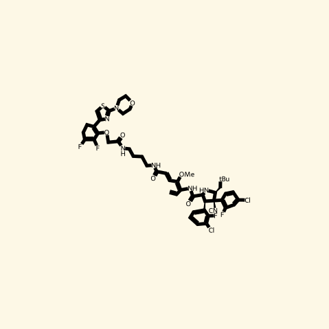 C=C/C(NC(=O)C1N[C@@H](CC(C)(C)C)[C@](C#N)(c2ccc(Cl)cc2F)[C@H]1c1cccc(Cl)c1F)=C(\C=C\C(=O)NCCCCNC(=O)COC1=C(c2csc(N3CCOCC3)n2)CCC(F)=C1F)OC